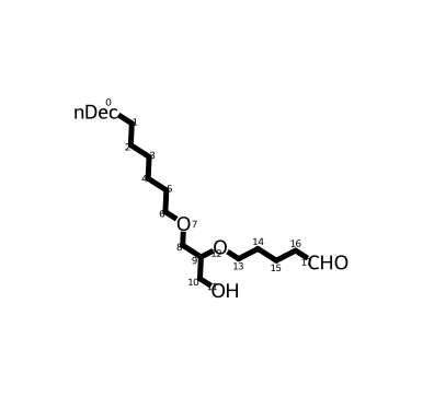 CCCCCCCCCCCCCCCCOCC(CO)OCCCCC=O